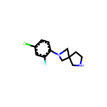 Fc1cc(Cl)ccc1N1CC2(CCNC2)C1